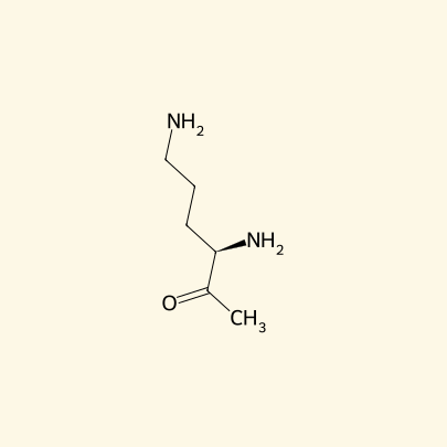 CC(=O)[C@H](N)CCCN